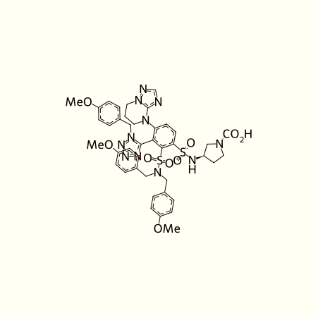 COc1ccc(CN(Cc2ccc(OC)cc2)S(=O)(=O)c2c(S(=O)(=O)N[C@@H]3CCN(C(=O)O)C3)ccc(N3CCCn4ncnc43)c2-c2nnnn2Cc2ccc(OC)cc2)cc1